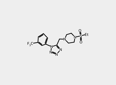 CCS(=O)(=O)N1CCN(Cc2nnnn2-c2cccc(C(F)(F)F)c2)CC1